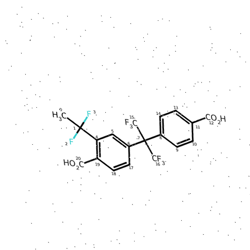 CC(F)(F)c1cc(C(c2ccc(C(=O)O)cc2)(C(F)(F)F)C(F)(F)F)ccc1C(=O)O